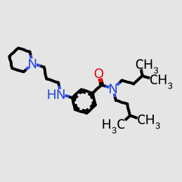 CC(C)CCN(CCC(C)C)C(=O)c1cccc(NCCCN2CCCCC2)c1